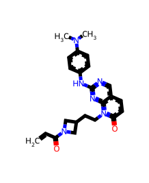 C=CC(=O)N1CC(CCn2c(=O)ccc3cnc(Nc4ccc(N(C)C)cc4)nc32)C1